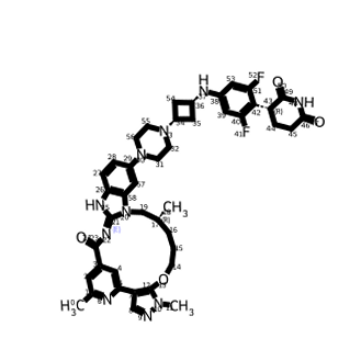 Cc1cc2cc(n1)-c1cnn(C)c1OCCC[C@@H](C)CN1/C(=N/C2=O)Nc2ccc(N3CCN([C@H]4C[C@@H](Nc5cc(F)c([C@H]6CCC(=O)NC6=O)c(F)c5)C4)CC3)cc21